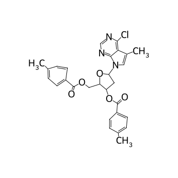 Cc1ccc(C(=O)OCC2OC(n3cc(C)c4c(Cl)ncnc43)CC2OC(=O)c2ccc(C)cc2)cc1